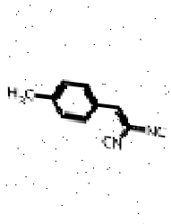 [C-]#[N+]C(=Cc1ccc(C)cc1)[N+]#[C-]